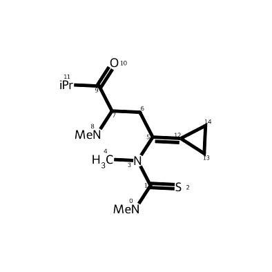 CNC(=S)N(C)C(CC(NC)C(=O)C(C)C)=C1CC1